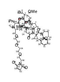 CC[C@H](C)[C@@H]([C@@H](CC(=O)N1CCC[C@H]1[C@H](OC)[C@@H](C)C(=O)N[C@@]1(C(=O)N2CCCOC2)C[C@@H]1c1ccccc1)OC)N(C)C(=O)[C@@H](NC(=O)[C@H](C(C)C)N(C)CCOCCOCCOCCN1C(=O)C=CC1=O)C(C)C